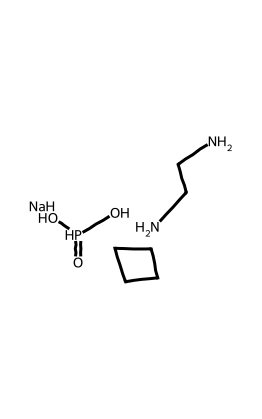 C1CCC1.NCCN.O=[PH](O)O.[NaH]